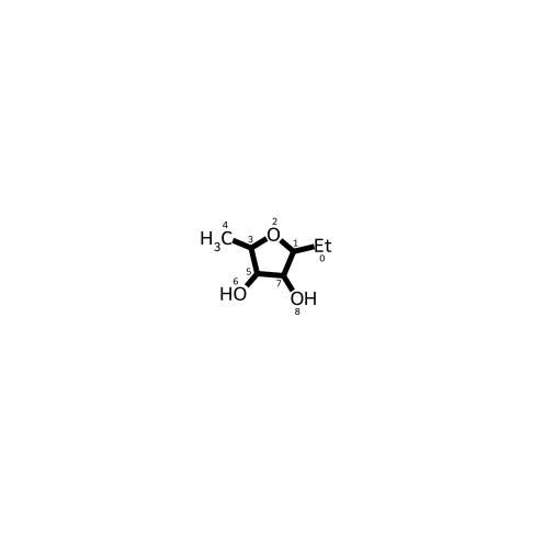 CCC1OC(C)C(O)C1O